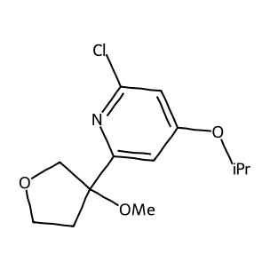 COC1(c2cc(OC(C)C)cc(Cl)n2)CCOC1